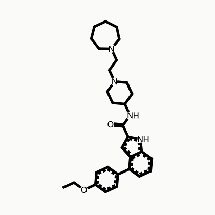 CCOc1ccc(-c2cccc3[nH]c(C(=O)NC4CCN(CCN5CCCCCC5)CC4)cc23)cc1